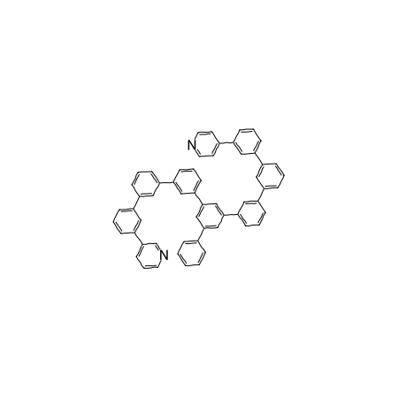 c1ccc(-c2cc(-c3cccc(-c4cccc(-c5cccc(-c6ccncc6)c5)c4)c3)cc(-c3cccc(-c4cccc(-c5cccc(-c6cccnc6)c5)c4)c3)c2)cc1